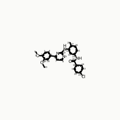 COc1ccc(-c2ccnc(Nc3cc(NC(=O)c4ccc(Cl)cc4)ccc3C)n2)cc1OC